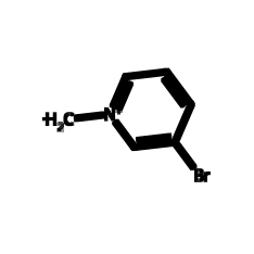 [CH2][n+]1cccc(Br)c1